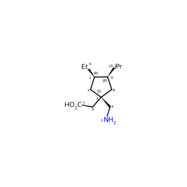 CC[C@@H]1C[C@@](CN)(CC(=O)O)C[C@@H]1C(C)C